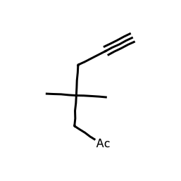 C#CCC(C)(C)CC(C)=O